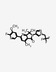 COc1cc(-c2cc(C)c3c(n2)C(C)(C)N(c2cnn(CC(F)(F)F)c2)C3=O)cnc1F